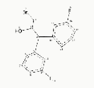 OC(CBr)C(c1cccc(F)c1)c1cccc(F)c1